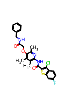 Cc1nc(NC(=O)c2sc3cc(F)ccc3c2Cl)c(C)c(C)c1OCC(=O)NCc1ccccc1